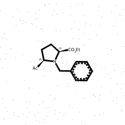 CCOC(=O)[C@@H]1CC[C@H](C(C)=O)N1Cc1ccccc1